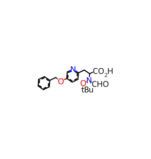 CC(C)(C)ON(C=O)C(Cc1ccc(OCc2ccccc2)cn1)C(=O)O